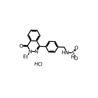 CCn1nc(-c2ccc(CN[SH](=O)=O)cc2)c2ccccc2c1=O.Cl